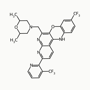 CC1CN(Cc2nc3nc(-c4ncccc4C(F)(F)F)ccc3c3c2Oc2cc(C(F)(F)F)ccc2N3)CC(C)O1